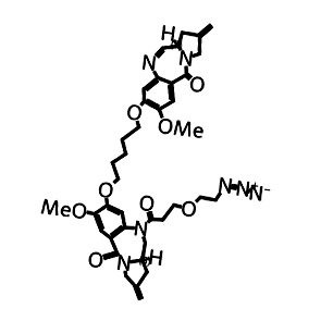 C=C1C[C@H]2CN(C(=O)CCOCCN=[N+]=[N-])c3cc(OCCCCCOc4cc5c(cc4OC)C(=O)N4CC(=C)C[C@H]4C=N5)c(OC)cc3C(=O)N2C1